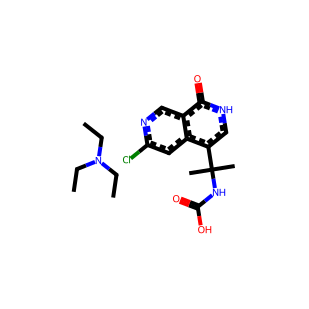 CC(C)(NC(=O)O)c1c[nH]c(=O)c2cnc(Cl)cc12.CCN(CC)CC